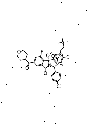 CO[C@]1(c2ccc(Cl)cc2)c2c(F)cc(C(=O)C3CCOCC3)cc2C(=O)N1[C@H](c1ccc(Cl)cc1)[C@H](C)C(=O)OCCS(C)(C)C